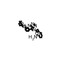 CC1(C)CCC(COc2cccc(-c3cn([C@H]4C[C@H](CN5CCC[C@H]5C(N)=O)C4)c4ncnc(N)c34)c2)O1